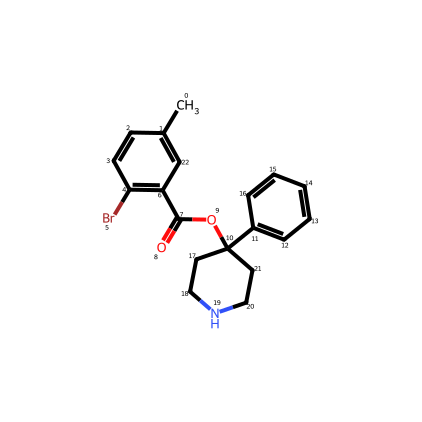 Cc1ccc(Br)c(C(=O)OC2(c3ccccc3)CCNCC2)c1